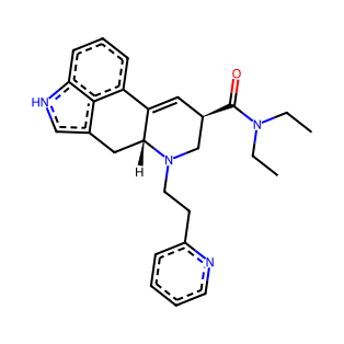 CCN(CC)C(=O)[C@@H]1C=C2c3cccc4[nH]cc(c34)C[C@H]2N(CCc2ccccn2)C1